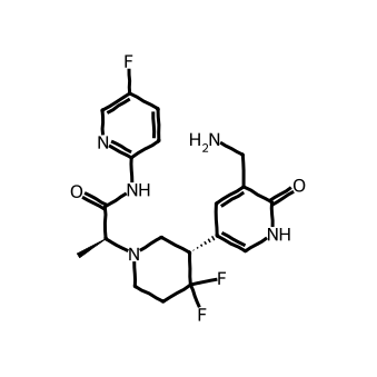 C[C@@H](C(=O)Nc1ccc(F)cn1)N1CCC(F)(F)[C@@H](c2c[nH]c(=O)c(CN)c2)C1